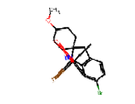 COC1CCC2(CC1)Cc1ccc(Br)cc1C21NC(=S)NC1=O